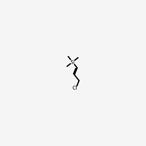 C[Si](C)(C)C=CCCl